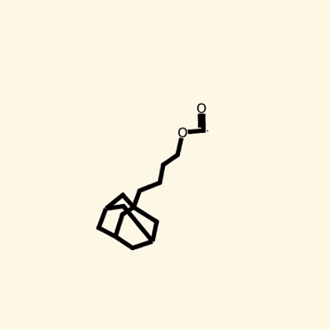 O=[C]OCCCCC12CC3CC(CC(C3)C1)C2